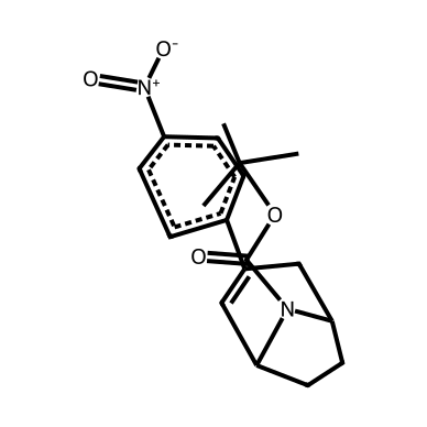 CC(C)(C)OC(=O)N1C2C=C(c3ccc([N+](=O)[O-])cc3)CC1CC2